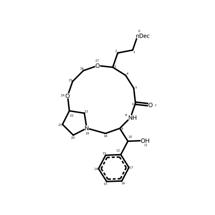 CCCCCCCCCCCCC1CCC(=O)NC(C(O)c2ccccc2)CN2CCC(C2)OCCO1